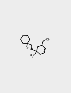 CC1(C=CC2(C)CC=CC(OO)C2)CC=CCC1